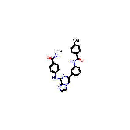 CONC(=O)c1ccc(Nc2nc(-c3cccc(NC(=O)c4ccc(C(C)(C)C)cc4)c3)cn3ccnc23)cc1